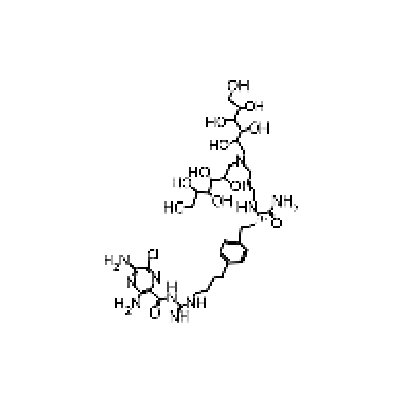 N=C(NCCCCc1ccc(CC[C@H](NCCCN(CC(O)C(O)C(O)C(O)CO)CC(O)C(O)C(O)C(O)CO)C(N)=O)cc1)NC(=O)c1nc(Cl)c(N)nc1N